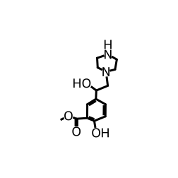 COC(=O)c1cc(C(O)CN2CCNCC2)ccc1O